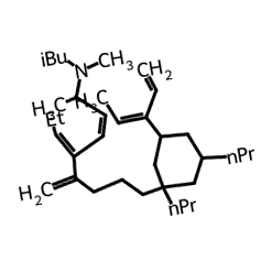 C=C/C(=C\C)C1CC(CCC)CC(CCC)(CCCC(=C)C(/C=C\C(C)N(C)C(C)CC)=C/CC)C1